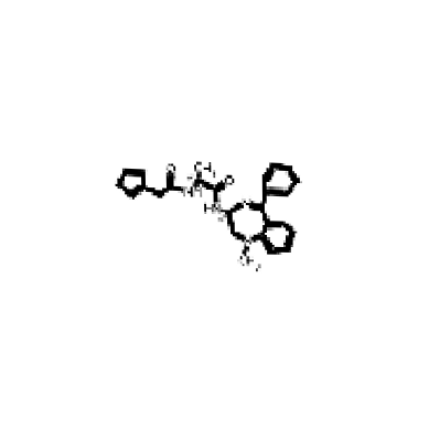 C[C@H](NC(=O)CC1=CCCC1)C(=O)N[C@@H]1CN(C)c2ccccc2C(c2ccccc2)=N1